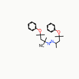 CC(CC(C)(C)Oc1ccccc1)N=NC(C)(C#N)CC(C)(C)Oc1ccccc1